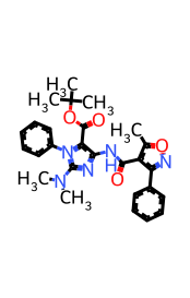 Cc1onc(-c2ccccc2)c1C(=O)Nc1nc(N(C)C)n(-c2ccccc2)c1C(=O)OC(C)(C)C